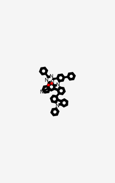 N#Cc1ccc2c(c1)c1c(-c3cccc4c3c3ccccc3n4-c3ccccc3)cccc1n2-c1cc(-c2ccccc2)ccc1-c1nc(-c2ccccc2)nc(-c2ccccc2)n1